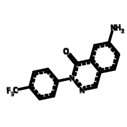 Nc1ccc2cnn(-c3ccc(C(F)(F)F)cc3)c(=O)c2c1